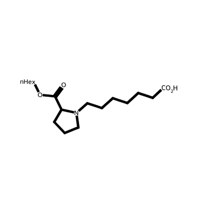 CCCCCCOC(=O)C1CCCN1CCCCCCC(=O)O